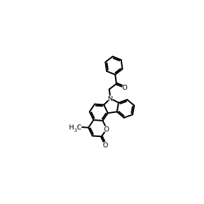 Cc1cc(=O)oc2c1ccc1c2c2ccccc2n1CC(=O)c1ccccc1